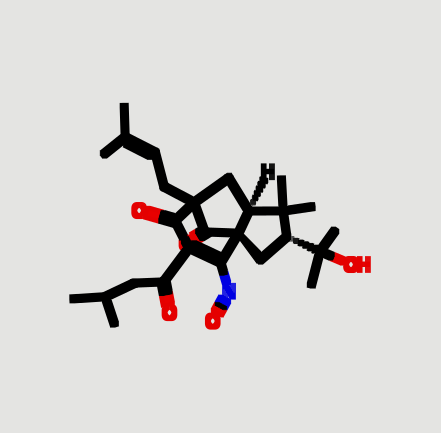 CC(C)=CCC12C[C@H]3C(C)(C)[C@H](C(C)(C)O)C[C@]3(C1=O)C(N=O)=C(C(=O)CC(C)C)C2=O